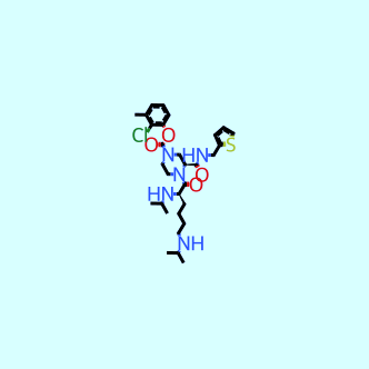 Cc1cccc(OC(=O)N2CCN(C(=O)[C@@H](CCCCNC(C)C)NC(C)C)[C@H](C(=O)NCc3cccs3)C2)c1Cl